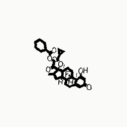 CC1C[C@H]2[C@@H]3CCC4=CC(=O)C=C(O)[C@]4(C)[C@@]3(F)CC[C@]2(C)[C@@]1(OC(=O)C1CC1)C(=O)COC(=O)C1CCCCC1